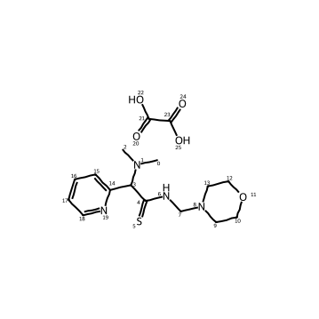 CN(C)C(C(=S)NCN1CCOCC1)c1ccccn1.O=C(O)C(=O)O